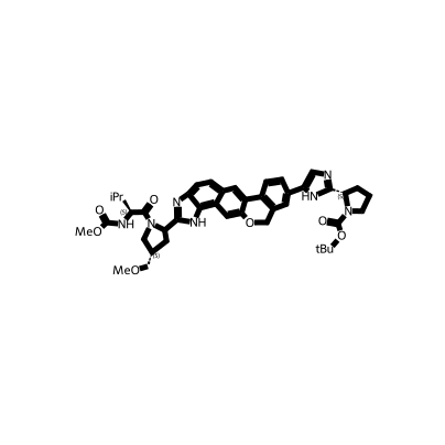 COC[C@H]1CC(c2nc3ccc4cc5c(cc4c3[nH]2)OCc2cc(-c3cnc([C@@H]4CCCN4C(=O)OC(C)(C)C)[nH]3)ccc2-5)N(C(=O)[C@@H](NC(=O)OC)C(C)C)C1